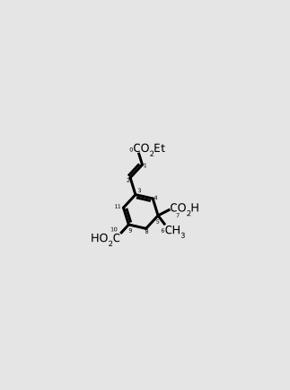 CCOC(=O)C=CC1=CC(C)(C(=O)O)CC(C(=O)O)=C1